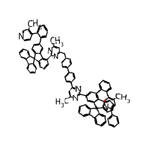 Cc1cc(-c2ccc(-c3ccc(Cc4cc(C)nc(-c5cccc6c5-c5cc(-c7ccccc7-c7ccncc7C)ccc5C65c6ccccc6-c6ccccc65)n4)cc3)cc2)nc(-c2cc(-c3ccccc3-c3cnc(-c4ccccc4)cc3C)c3c(c2)C2(c4ccccc4-c4ccccc42)c2ccccc2-3)n1